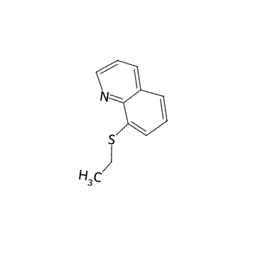 CCSc1cccc2cccnc12